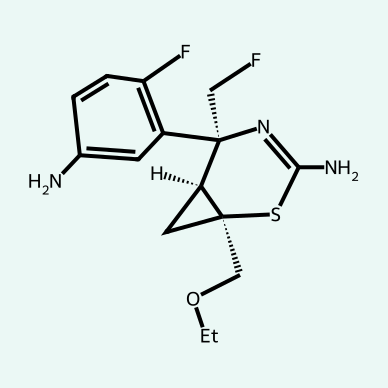 CCOC[C@]12C[C@H]1[C@@](CF)(c1cc(N)ccc1F)N=C(N)S2